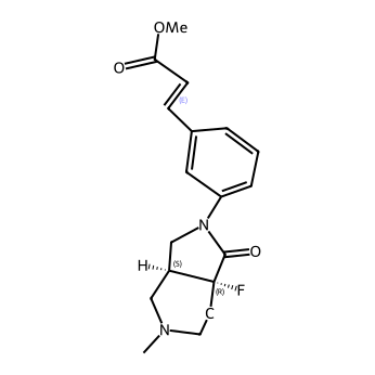 COC(=O)/C=C/c1cccc(N2C[C@@H]3CN(C)CC[C@]3(F)C2=O)c1